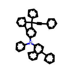 C(#CC1(c2ccccc2)c2ccccc2-c2cc(N(c3ccccc3)c3ccc(-c4ccccc4)c4ccccc34)ccc21)c1ccccc1